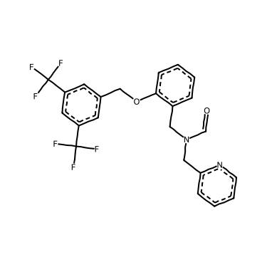 O=CN(Cc1ccccn1)Cc1ccccc1OCc1cc(C(F)(F)F)cc(C(F)(F)F)c1